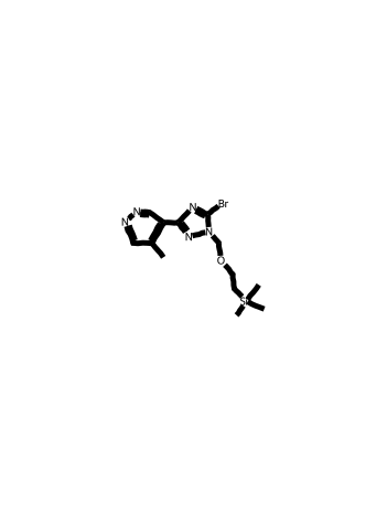 Cc1cnncc1-c1nc(Br)n(COCC[Si](C)(C)C)n1